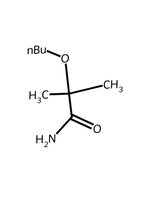 CCCCOC(C)(C)C(N)=O